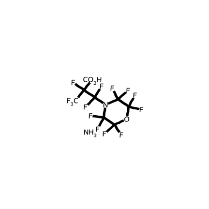 N.O=C(O)C(F)(C(F)(F)F)C(F)(F)N1C(F)(F)C(F)(F)OC(F)(F)C1(F)F